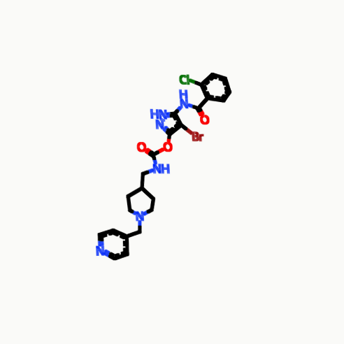 O=C(NCC1CCN(Cc2ccncc2)CC1)Oc1n[nH]c(NC(=O)c2ccccc2Cl)c1Br